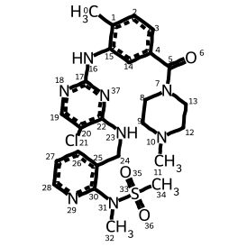 Cc1ccc(C(=O)N2CCN(C)CC2)cc1Nc1ncc(Cl)c(NCc2cccnc2N(C)S(C)(=O)=O)n1